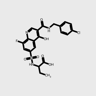 CCC(NS(=O)(=O)c1cc(F)c2ncc(C(=O)NCc3ccc(Cl)cc3)c(O)c2c1)C(=O)O